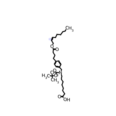 CCCCCC/C=C\COC(=O)CCCc1ccc(CN(CCCCCCCC(=O)O)C(=O)OC(C)(C)C)cc1